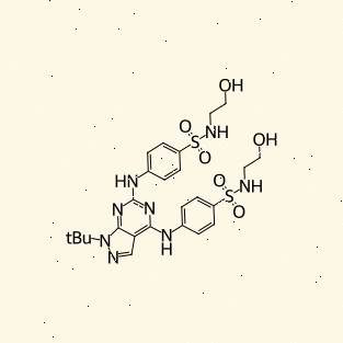 CC(C)(C)n1ncc2c(Nc3ccc(S(=O)(=O)NCCO)cc3)nc(Nc3ccc(S(=O)(=O)NCCO)cc3)nc21